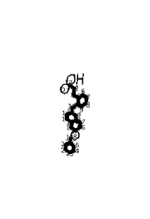 O=C(O)C=Cc1ccccc1Cc1ccc2cc(OCc3ccccc3)ccc2c1